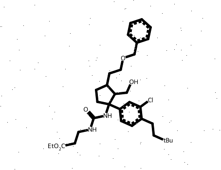 CCOC(=O)CCNC(=O)NC1(c2ccc(CCC(C)(C)C)c(Cl)c2)CCC(CCOCc2ccccc2)C1CO